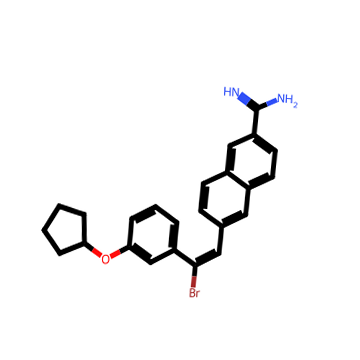 N=C(N)c1ccc2cc(/C=C(/Br)c3cccc(OC4CCCC4)c3)ccc2c1